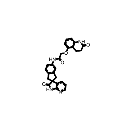 O=C(COc1cccc2c1CCC(=O)N2)Nc1ccc2c(c1)CC1(C2)C(=O)Nc2ncccc21